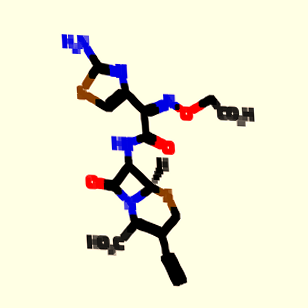 C#CC1=C(C(=O)O)N2C(=O)C(NC(=O)/C(=N\OCC(=O)O)c3csc(N)n3)[C@H]2SC1